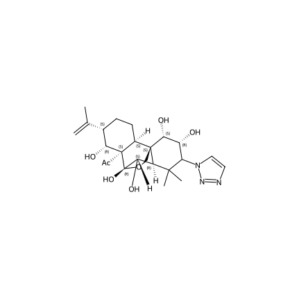 C=C(C)[C@@H]1CC[C@H]2[C@@]34CO[C@@](O)([C@@H](O)[C@@H]3C(C)(C)C(n3ccnn3)[C@@H](O)[C@H]4O)[C@@]2(C(C)=O)[C@@H]1O